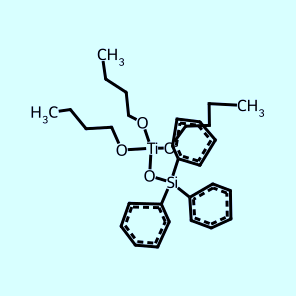 CCCC[O][Ti]([O]CCCC)([O]CCCC)[O][Si](c1ccccc1)(c1ccccc1)c1ccccc1